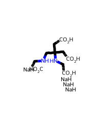 O=C(O)CNCC(CC(=O)O)(CC(=O)O)NCC(=O)O.[NaH].[NaH].[NaH].[NaH]